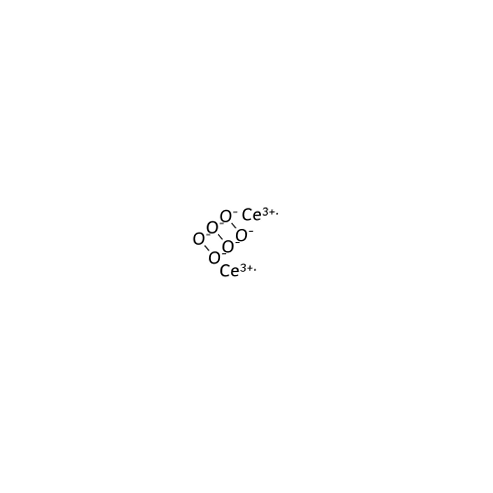 [Ce+3].[Ce+3].[O-][O-].[O-][O-].[O-][O-]